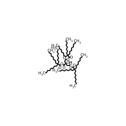 CCCCCCCCC(CCCCCCCC)(CCCCCCCC)C(=O)OC(=O)CC(O)(CC(=O)OC(=O)C(CCCCCCCC)(CCCCCCCC)CCCCCCCC)C(=O)OC(=O)C(CCCCCCCC)(CCCCCCCC)CCCCCCCC